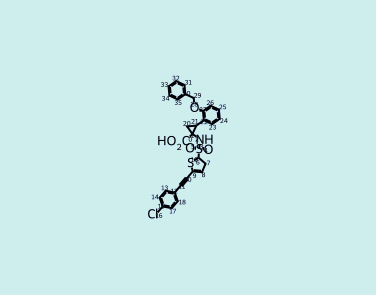 O=C(O)C1(NS(=O)(=O)C2CC=C(C#Cc3ccc(Cl)cc3)S2)CC1c1ccccc1OCc1ccccc1